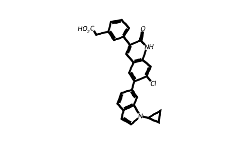 O=C(O)Cc1cccc(-c2cc3cc(-c4ccc5ccn(C6CC6)c5c4)c(Cl)cc3[nH]c2=O)c1